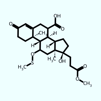 COC(=O)CC[C@@]1(O)CC[C@H]2[C@@H]3C(C(=O)O)CC4=CC(=O)CC[C@]4(C)[C@H]3C(OSC)C[C@@]21C